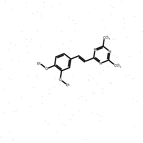 CCOc1ccc(C=Cc2nc(C(Cl)(Cl)Cl)nc(C(Cl)(Cl)Cl)n2)cc1OCC